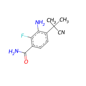 CC(C)(C#N)c1ccc(C(N)=O)c(F)c1N